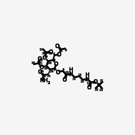 CC(=O)OC[C@H]1O[C@@H](OCC(=O)NCCCNC(=O)OC(C)(C)C)[C@H](CC(N)=O)[C@@H](OC(C)=O)[C@H]1OC(C)=O